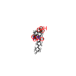 Cc1ccc(-c2ccc(C(=O)Nc3ccc(S(=O)(=O)O)c4cccc(S(=O)(=O)O)c34)cc2)cc1